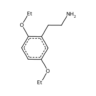 CCOc1ccc(OCC)c(CCN)c1